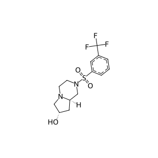 O=S(=O)(c1cccc(C(F)(F)F)c1)N1CCN2C[C@@H](O)C[C@@H]2C1